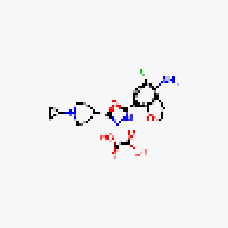 Nc1c(Cl)cc(-c2nnc(C3CCN(C4CC4)CC3)o2)c2c1CCO2.O=C(O)C(=O)O